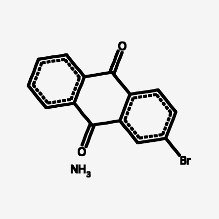 N.O=C1c2ccccc2C(=O)c2cc(Br)ccc21